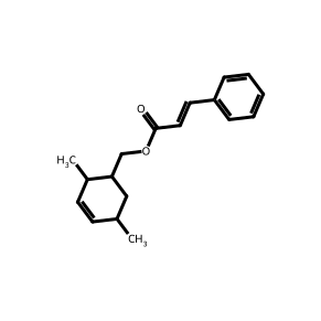 CC1C=CC(C)C(COC(=O)/C=C/c2ccccc2)C1